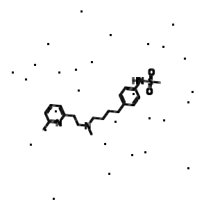 Cc1cccc(CCN(C)CCCCc2ccc(NS(C)(=O)=O)cc2)n1